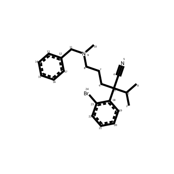 CC(C)C(C#N)(CCCN(C)Cc1ccccc1)c1ccccc1Br